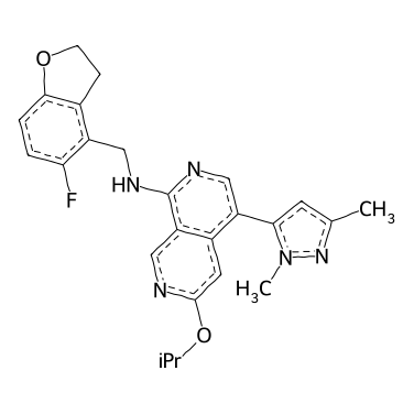 Cc1cc(-c2cnc(NCc3c(F)ccc4c3CCO4)c3cnc(OC(C)C)cc23)n(C)n1